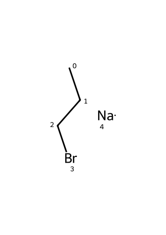 CCCBr.[Na]